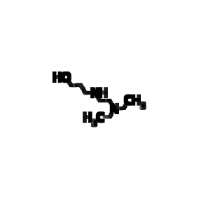 CCN(CC)CCNCCCO